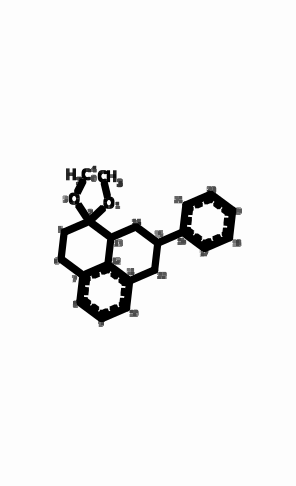 COC1(OC)CCc2cccc3c2C1CC(c1ccccc1)C3